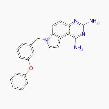 Nc1nc(N)c2c(ccc3c2ccn3Cc2cccc(Oc3ccccc3)c2)n1